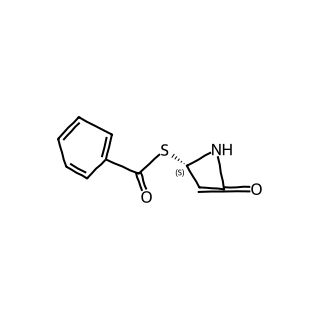 O=C1C[C@H](SC(=O)c2ccccc2)N1